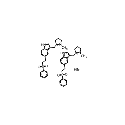 Br.CN1CCC[C@@H]1Cc1c[nH]c2ccc(CCS(=O)(=O)c3ccccc3)cc12.CN1CCC[C@@H]1Cc1c[nH]c2ccc(CCS(=O)(=O)c3ccccc3)cc12